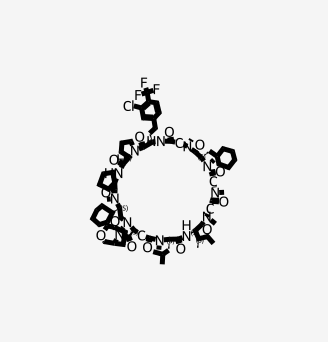 CC[C@H](C)[C@@H]1NC(=O)[C@H](CC(C)C)N(C)C(=O)C[C@@H](C(=O)N2C3CCC2COC3)N(C)C(=O)[C@H](C2CCCCC2)N(C)C(=O)C2(CCCC2)NC(=O)[C@@H]2CCCN2C(=O)[C@H](CCc2ccc(C(F)(F)F)c(Cl)c2)NC(=O)CN(C)C(=O)[C@H](CC2CCCCC2)N(C)C(=O)CN(C)C(=O)CN(C)C1=O